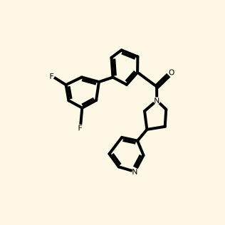 O=C(c1cccc(-c2cc(F)cc(F)c2)c1)N1CCC(c2cccnc2)C1